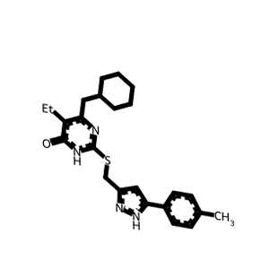 CCc1c(CC2CCCCC2)nc(SCc2cc(-c3ccc(C)cc3)[nH]n2)[nH]c1=O